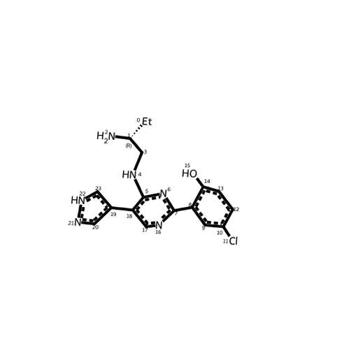 CC[C@@H](N)CNc1nc(-c2cc(Cl)ccc2O)ncc1-c1cn[nH]c1